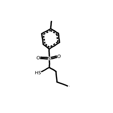 [CH2]CCC(S)S(=O)(=O)c1ccc(C)cc1